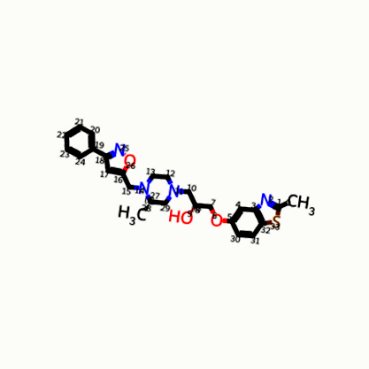 Cc1nc2cc(OC[C@H](O)CN3CCN(Cc4cc(-c5ccccc5)no4)[C@@H](C)C3)ccc2s1